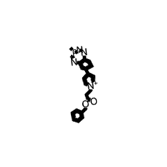 CP1C=Nc2cc(-c3cc[n+](CCC(=O)OCc4ccccc4)cc3)ccc2N=N1